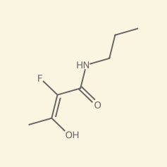 CCCNC(=O)/C(F)=C(/C)O